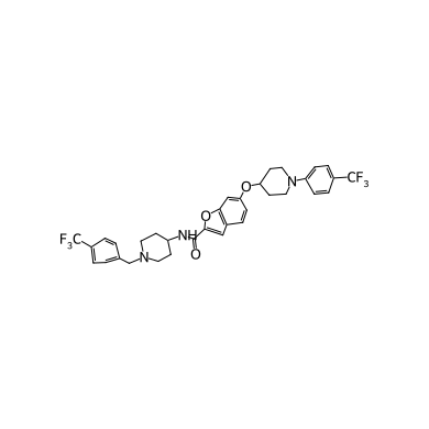 O=C(NC1CCN(Cc2ccc(C(F)(F)F)cc2)CC1)c1cc2ccc(OC3CCN(c4ccc(C(F)(F)F)cc4)CC3)cc2o1